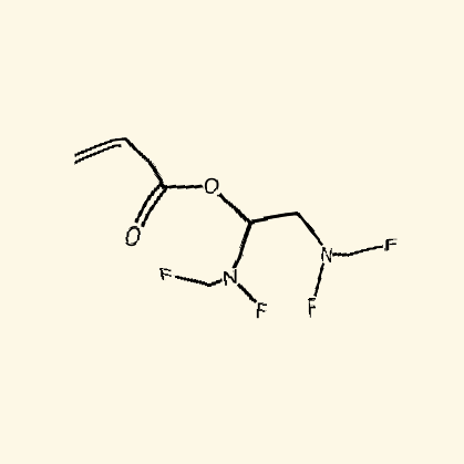 C=CC(=O)OC(CN(F)F)N(F)F